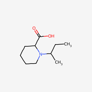 CCC(C)N1CCCCC1C(=O)O